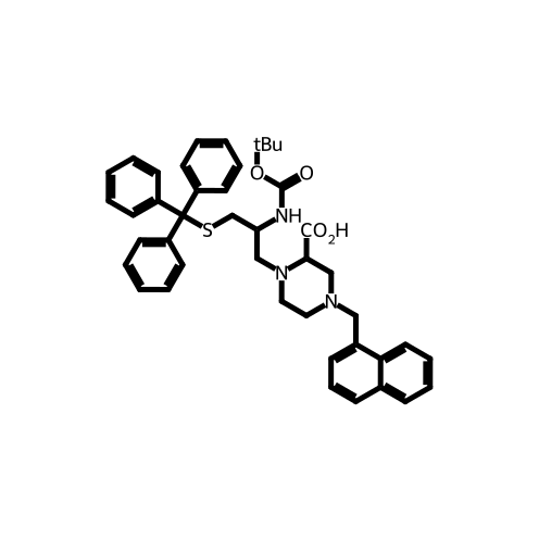 CC(C)(C)OC(=O)NC(CSC(c1ccccc1)(c1ccccc1)c1ccccc1)CN1CCN(Cc2cccc3ccccc23)CC1C(=O)O